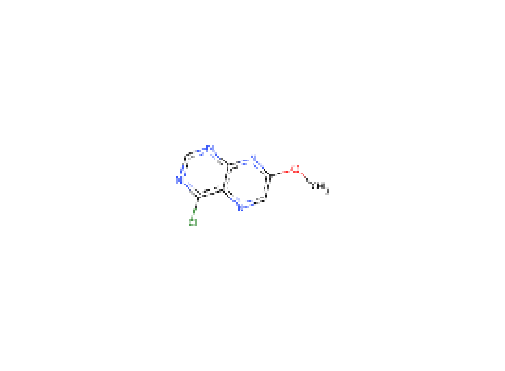 COc1cnc2c(Cl)ncnc2n1